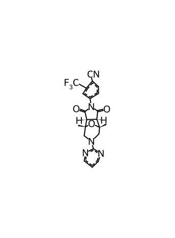 C[C@]12CN(c3ncccn3)C[C@](C)(O1)[C@@H]1C(=O)N(c3ccc(C#N)c(C(F)(F)F)c3)C(=O)[C@@H]12